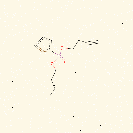 C#CCCOP(=O)(OCCCC)c1cccs1